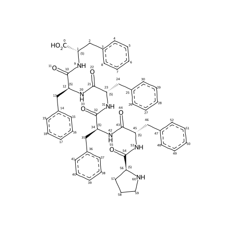 O=C(O)[C@H](Cc1ccccc1)NC(=O)[C@H](Cc1ccccc1)NC(=O)[C@H](Cc1ccccc1)NC(=O)[C@H](Cc1ccccc1)NC(=O)[C@H](Cc1ccccc1)NC(=O)[C@@H]1CCCN1